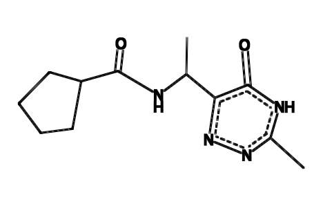 Cc1nnc(C(C)NC(=O)C2CCCC2)c(=O)[nH]1